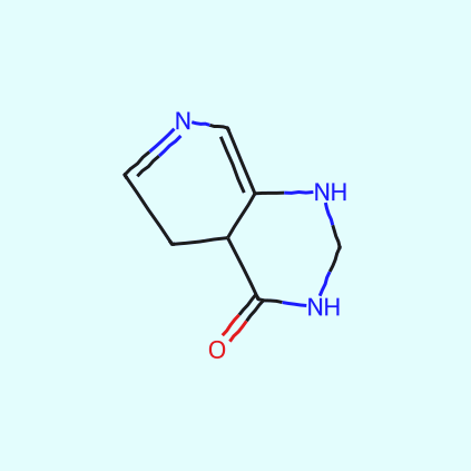 O=C1NCNC2=CN=CCC12